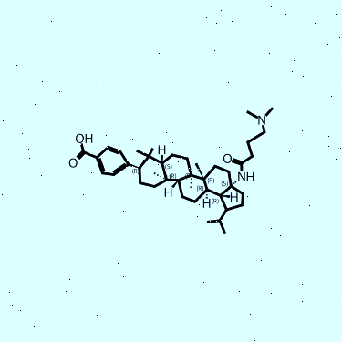 CC(C)C1CC[C@]2(NC(=O)CCCN(C)C)CC[C@]3(C)[C@H](CC[C@@H]4[C@@]5(C)CC[C@@H](c6ccc(C(=O)O)cc6)C(C)(C)[C@@H]5CC[C@]43C)[C@@H]12